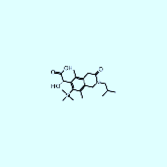 Cc1c2c(c(C)c([Si](C)(C)C)c1[C@H](O)C(=O)O)CN(CC(C)C)C(=O)C2